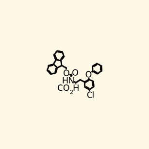 O=C(N[C@@H](Cc1cc(Cl)ccc1Oc1ccccc1)C(=O)O)OCC1c2ccccc2-c2ccccc21